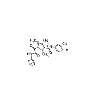 Cc1c(C(=O)Nc2ccc(F)c(C#N)c2)c(C)n(C)c1C(=O)C(=O)NC12CCC(C1)C2